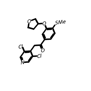 CSc1ccc(C(=O)Cc2c(Cl)cncc2Cl)cc1OC1CCOC1